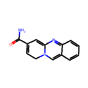 NC(=O)C1=CCN2C=c3ccccc3=NC2=C1